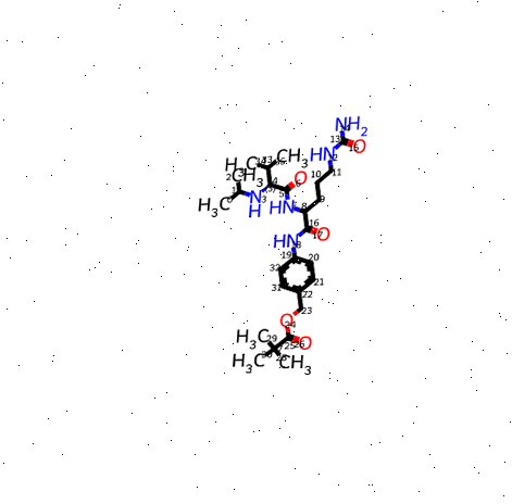 CC(C)N[C@H](C(=O)NC(CCCNC(N)=O)C(=O)Nc1ccc(COC(=O)C(C)(C)C)cc1)C(C)C